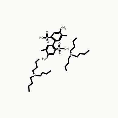 CCCCN(CCCC)CCCC.CCCCN(CCCC)CCCC.Cc1cc(-c2cc(C)c(N)cc2S(=O)(=O)O)c(S(=O)(=O)O)cc1N